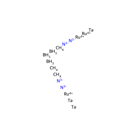 B.B.B.C.C.C.[N-3].[N-3].[N-3].[N-3].[Ru+4].[Ru+4].[Ru+4].[Ta].[Ta].[Ta]